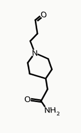 NC(=O)CC1CCN(CCC=O)CC1